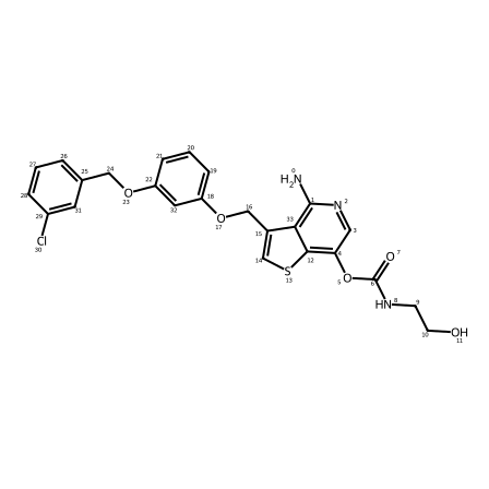 Nc1ncc(OC(=O)NCCO)c2scc(COc3cccc(OCc4cccc(Cl)c4)c3)c12